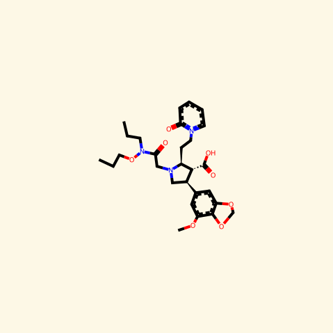 CCCON(CCC)C(=O)CN1C[C@H](c2cc(OC)c3c(c2)OCO3)[C@@H](C(=O)O)[C@@H]1CCn1ccccc1=O